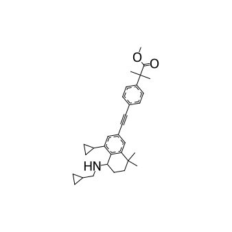 COC(=O)C(C)(C)c1ccc(C#Cc2cc(C3CC3)c3c(c2)C(C)(C)CCC3NCC2CC2)cc1